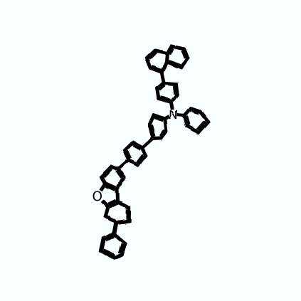 C1=CC(c2ccccc2)Cc2oc3ccc(-c4ccc(-c5ccc(N(c6ccccc6)c6ccc(-c7cccc8ccccc78)cc6)cc5)cc4)cc3c21